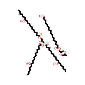 CC1COC(COC(=O)CCCCCCCCCCCCCCCCCO)CO1.CCCCCCC(O)CCCCCCCCCCC(=O)OCC(COC(=O)CCCCCCCCCCC(O)CCCCCC)OC(=O)CCCCCCCCCCC(O)CCCCCC